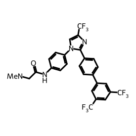 CNCC(=O)Nc1ccc(-n2cc(C(F)(F)F)nc2-c2ccc(-c3cc(C(F)(F)F)cc(C(F)(F)F)c3)cc2)cc1